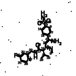 C=NN(/C=C(\N)c1ccc(S(N)(=O)=O)cc1)[C@H](C(=O)NCc1cc(F)ccn1)C(C)C